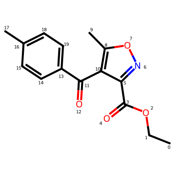 CCOC(=O)c1noc(C)c1C(=O)c1ccc(C)cc1